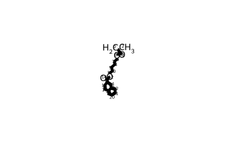 C=C(C)C(=O)OCCCCCCOC(=O)c1ccc2ccccc2c1